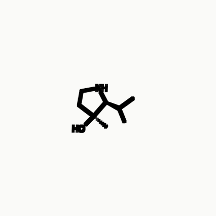 CC(C)[C@@H]1NCC[C@]1(C)O